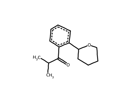 CC(C)C(=O)c1ccccc1C1CCCCO1